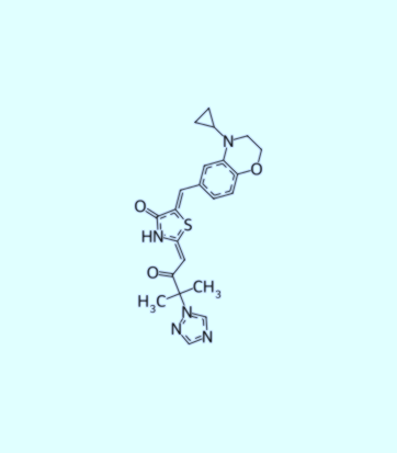 CC(C)(C(=O)/C=c1\[nH]c(=O)/c(=C/c2ccc3c(c2)N(C2CC2)CCO3)s1)n1cncn1